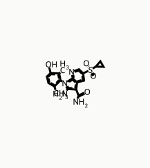 Cc1ccc(O)c(C)c1-n1c(N)c(C(N)=O)c2cc(S(=O)(=O)C3CC3)cnc21